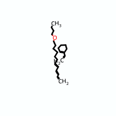 C=CC1=CCCCC1.C=CC=CC=CCCCCCCOCCCC